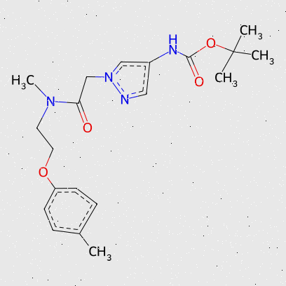 Cc1ccc(OCCN(C)C(=O)Cn2cc(NC(=O)OC(C)(C)C)cn2)cc1